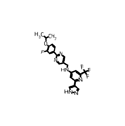 CC(C)Oc1ccc(-c2ncc(CNc3cc(-c4cn[nH]c4)nc(C(F)(F)F)c3)cn2)cc1F